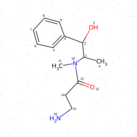 CC(C(O)c1ccccc1)N(C)C(=O)CCN